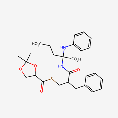 CC1(C)OCC(C(=O)SCC(Cc2ccccc2)C(=O)NC(CCC(=O)O)(Nc2ccccc2)C(=O)O)O1